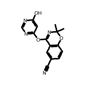 CC1(C)N=C(Oc2cc(O)ncn2)c2cc(C#N)ccc2O1